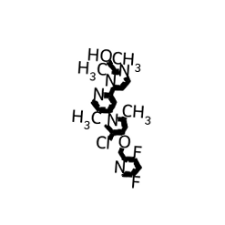 CC1=CC(OCc2ncc(F)cc2F)=C(Cl)CN1c1cc(-c2ccnc(C(C)(C)O)n2)ncc1C